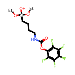 CCO[Si](O)(CCCCNC(=O)Oc1c(F)c(F)c(F)c(F)c1F)OCC